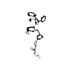 CCOC(=O)COc1cccc(CN2CC(=O)C[C@@H]2c2nc(-c3ccccc3)c(-c3ccccc3)o2)c1